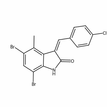 Cc1c(Br)cc(Br)c2c1C(=Cc1ccc(Cl)cc1)C(=O)N2